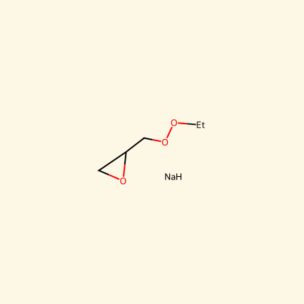 CCOOCC1CO1.[NaH]